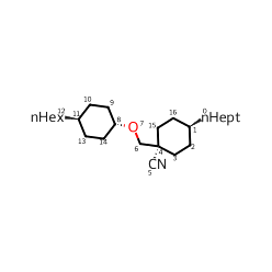 CCCCCCC[C@H]1CC[C@@](C#N)(CO[C@H]2CC[C@H](CCCCCC)CC2)CC1